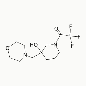 O=C(N1CCCC(O)(CN2CCOCC2)C1)C(F)(F)F